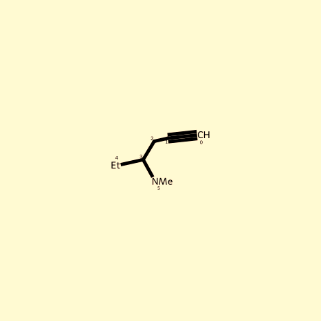 C#CCC(C[CH2])NC